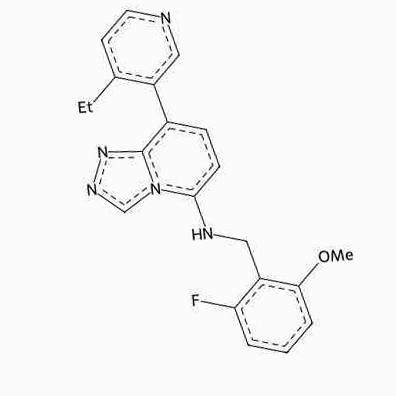 CCc1ccncc1-c1ccc(NCc2c(F)cccc2OC)n2cnnc12